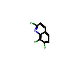 Fc1c(Br)ccc2ccc(Cl)nc12